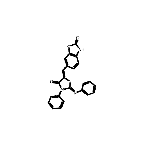 O=C1/C(=C/c2ccc3[nH]c(=O)oc3c2)S/C(=N\c2ccccc2)N1c1ccccc1